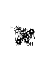 CC(C)(C)[N+]1(C(=O)[C@@H](O)[C@H](Cc2ccccc2)NC(=O)[C@H](CC(N)=O)NC(=O)OCc2ccccc2)C[C@H](O)C[C@H]1C(N)=O